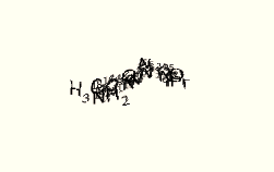 CC(C)n1cc(-c2cncc(-c3nnc(-c4ccc([C@H](C)N)cc4)o3)n2)ccc1=O